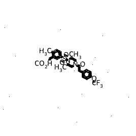 Cc1ccc(S(=O)(=O)N2[C@H](C)CN(C(=O)Cc3ccc(OC(F)(F)F)cc3)C[C@@H]2C)cc1CC(=O)O